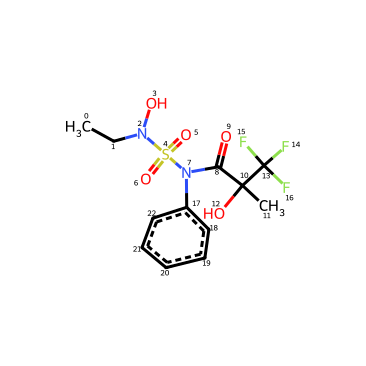 CCN(O)S(=O)(=O)N(C(=O)C(C)(O)C(F)(F)F)c1ccccc1